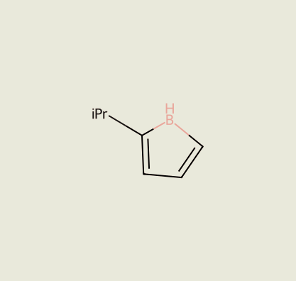 CC(C)C1=CC=CB1